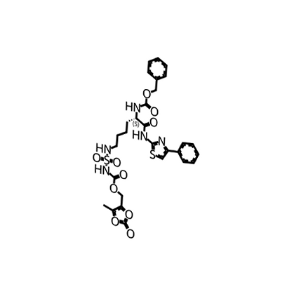 Cc1oc(=O)oc1COC(=O)NS(=O)(=O)NCCCC[C@H](NC(=O)OCc1ccccc1)C(=O)Nc1nc(-c2ccccc2)cs1